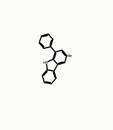 Br.c1ccc(-c2cccc3c2[nH]c2ccccc23)cc1